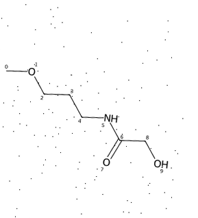 COCCCNC(=O)CO